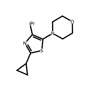 CC(C)c1nc(C2CC2)sc1N1CCOCC1